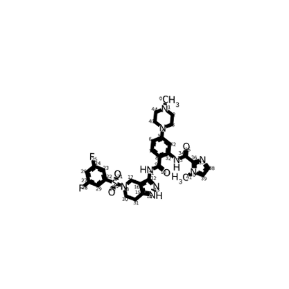 CN1CCN(c2ccc(C(=O)Nc3n[nH]c4c3CN(S(=O)(=O)c3cc(F)cc(F)c3)CC4)c(NC(=O)c3nccn3C)c2)CC1